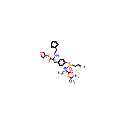 C=CCCP(=O)(N[C@@H](C)C(=O)OC(C)C)Oc1ccc(C[C@H](NCCc2ccccc2)C(=O)O[C@H]2CCOC2)cc1